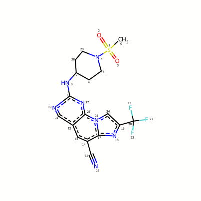 CS(=O)(=O)N1CCC(Nc2ncc3cc(C#N)c4nc(C(F)(F)F)cn4c3n2)CC1